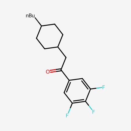 CCCCC1CCC(CC(=O)c2cc(F)c(F)c(F)c2)CC1